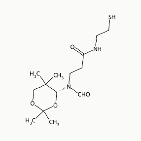 CC1(C)OCC(C)(C)[C@H](N(C=O)CCC(=O)NCCS)O1